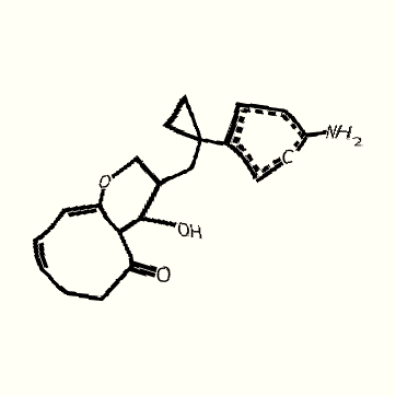 Nc1ccc(C2(CC3COC4=CC=CCCC(=O)C4C3O)CC2)cc1